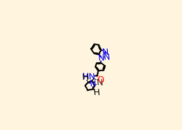 N#CN1[C@H]2CC[C@@H]1[C@H](NC(=O)c1ccc(-n3nnc4ccccc43)cc1)C2